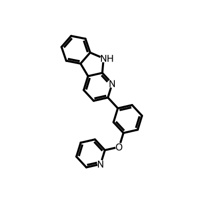 c1ccc(Oc2cccc(-c3ccc4c(n3)[nH]c3ccccc34)c2)nc1